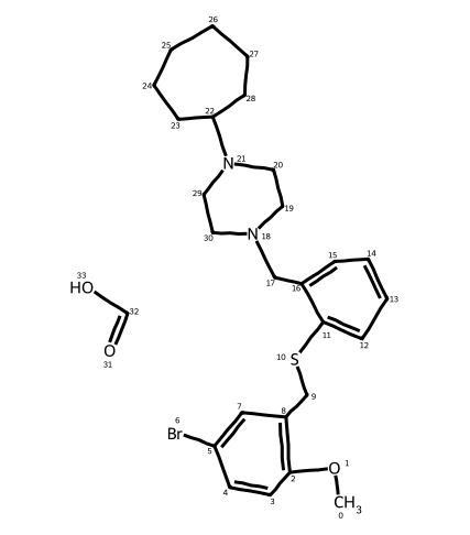 COc1ccc(Br)cc1CSc1ccccc1CN1CCN(C2CCCCCC2)CC1.O=CO